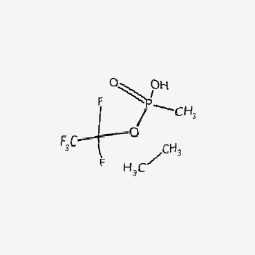 CC.CP(=O)(O)OC(F)(F)C(F)(F)F